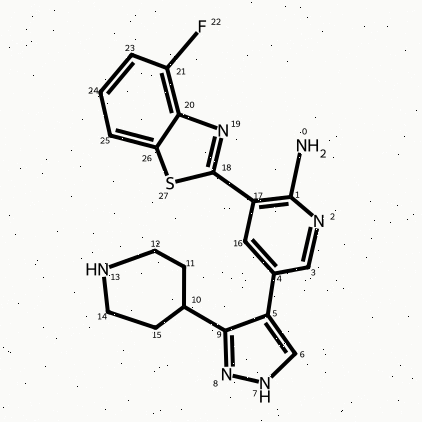 Nc1ncc(-c2c[nH]nc2C2CCNCC2)cc1-c1nc2c(F)cccc2s1